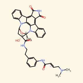 CN(C)C/C=C/C(=O)Nc1cccc(CCNC(=O)[C@@]2(O)CC3O[C@]2(C)n2c4ccccc4c4c5c(c6c7ccccc7n3c6c42)C(=O)NC5=O)c1